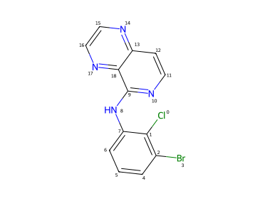 Clc1c(Br)cccc1Nc1nccc2nccnc12